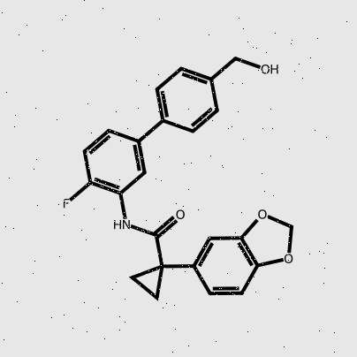 O=C(Nc1cc(-c2ccc(CO)cc2)ccc1F)C1(c2ccc3c(c2)OCO3)CC1